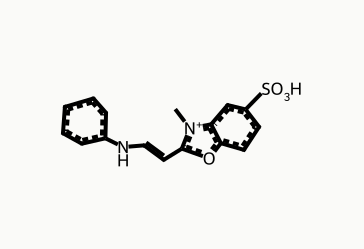 C[n+]1c(/C=C/Nc2ccccc2)oc2ccc(S(=O)(=O)O)cc21